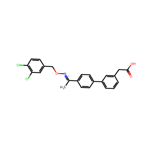 C/C(=N\OCc1ccc(Cl)c(Cl)c1)c1ccc(-c2cccc(CC(=O)O)c2)cc1